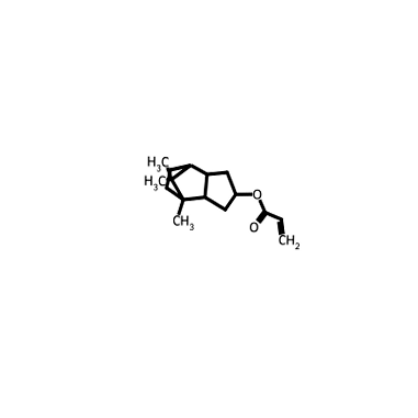 C=CC(=O)OC1CC2C3CCC(C)(C2C1)C3(C)C